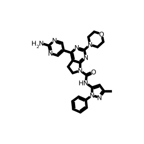 Cc1cc(NC(=O)N2CCc3c(-c4cnc(N)nc4)nc(N4CCOCC4)nc32)n(-c2ccccc2)n1